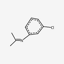 CC(C)=Nc1cccc(Cl)c1